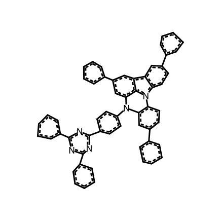 c1ccc(-c2ccc3c(c2)N(c2ccc(-c4nc(-c5ccccc5)nc(-c5ccccc5)n4)cc2)c2cc(-c4ccccc4)cc4c5cc(-c6ccccc6)ccc5n-3c24)cc1